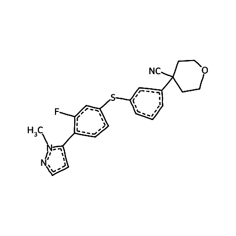 Cn1nccc1-c1ccc(Sc2cccc(C3(C#N)CCOCC3)c2)cc1F